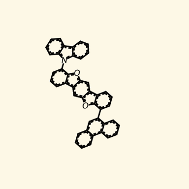 c1ccc2c(c1)cc(-c1cccc3c1oc1cc4c(cc13)oc1c(-n3c5ccccc5c5ccccc53)cccc14)c1ccccc12